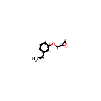 C=Cc1cccc(OCC2CO2)c1